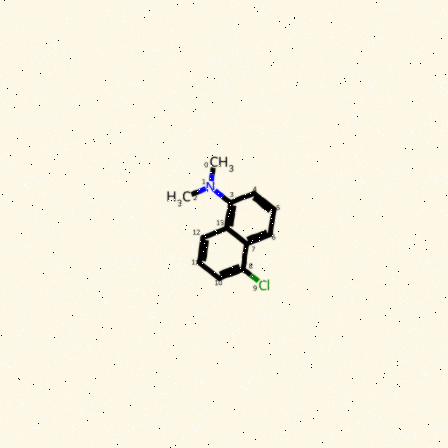 CN(C)c1cccc2c(Cl)cccc12